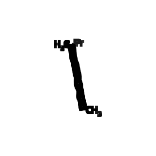 CC(C)C1C(C)C2C1C1C2C2C1C1C2C2C1C1C2C2C3C4C5C6C7C8C9C%10CC(C)C%10C9C8C7C6C5C4C3C12